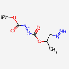 CC(C)OC(=O)/N=N/C(=O)OC(C)CN=N